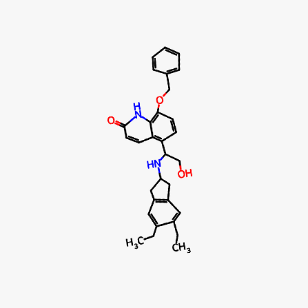 CCc1cc2c(cc1CC)CC(NC(CO)c1ccc(OCc3ccccc3)c3[nH]c(=O)ccc13)C2